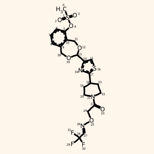 CS(=O)(=O)Oc1cccc2c1COC(c1csc(C3CCN(C(=O)CON=CC(F)(F)F)CC3)n1)OC2